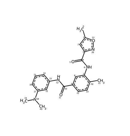 Cc1cc(C(=O)Nc2cc(C(=O)Nc3cccc(N(C)C)c3)ccc2C)no1